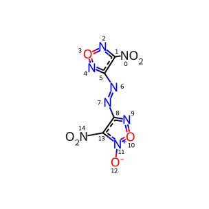 O=[N+]([O-])c1nonc1N=Nc1no[n+]([O-])c1[N+](=O)[O-]